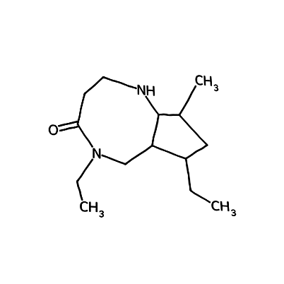 CCC1CC(C)C2NCCC(=O)N(CC)CC12